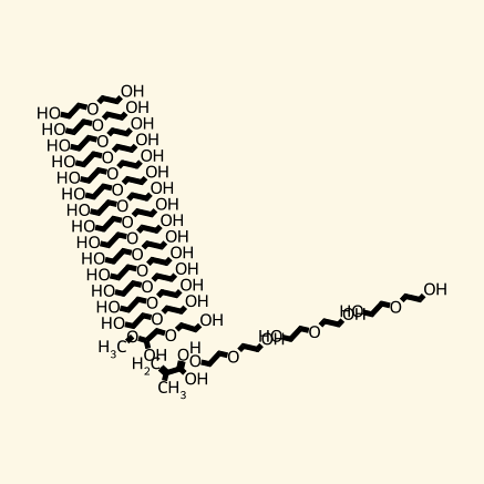 C=C(C)C(=O)O.COC(O)COCCO.OCCOCCO.OCCOCCO.OCCOCCO.OCCOCCO.OCCOCCO.OCCOCCO.OCCOCCO.OCCOCCO.OCCOCCO.OCCOCCO.OCCOCCO.OCCOCCO.OCCOCCO.OCCOCCO.OCCOCCO.OCCOCCO.OCCOCCO